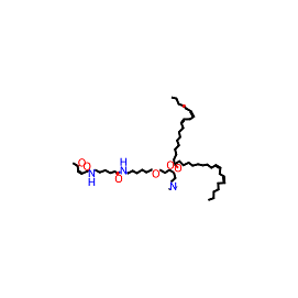 CCCCC/C=C\C/C=C\CCCCCCCCC1(CCCCCCCC/C=C\C/C=C\CCCCC)OC(CCOCCCCCCNC(=O)CCCCCNC(=O)/C=C\C(C)=O)C(CCN(C)C)O1